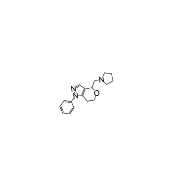 c1ccc(-n2ncc3c2CCOC3CN2CCCC2)cc1